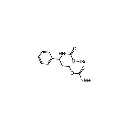 CNC(=S)OCCC(NC(=O)OC(C)(C)C)c1ccccc1